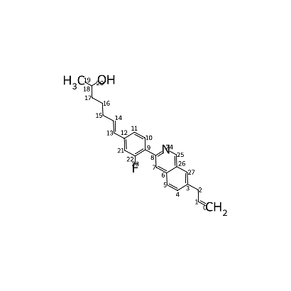 C=CCc1ccc2cc(-c3ccc(C=CCCCC(C)O)cc3F)ncc2c1